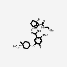 COc1cc(F)c(O[C@H]2CC[C@@](C)(C(=O)O)CC2)cc1C(=O)N[C@@H]1[C@H]2CC[C@H](C2)[C@@H]1C(=O)NCC(C)(C)C